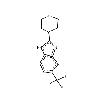 FC(F)(F)c1ccc2[nH]c(C3CCOCC3)nc2n1